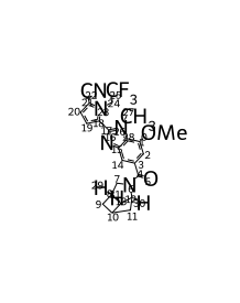 COc1cc(C(=O)N2C[C@H]3CC4C[C@@H]2[C@H]43)cc2nc(-c3ccc(C#N)n3CC(F)(F)F)n(C)c12